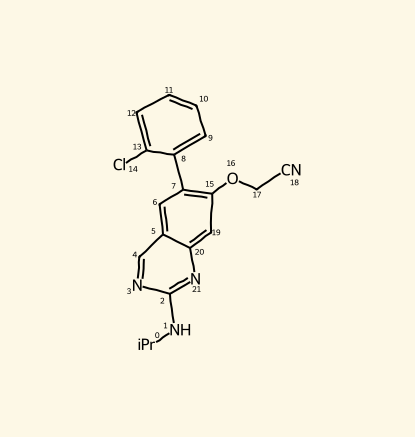 CC(C)Nc1ncc2cc(-c3ccccc3Cl)c(OCC#N)cc2n1